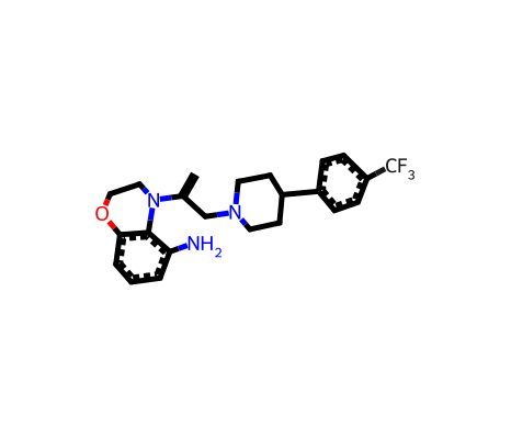 C=C(CN1CCC(c2ccc(C(F)(F)F)cc2)CC1)N1CCOc2cccc(N)c21